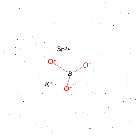 [K+].[O-]B([O-])[O-].[Sr+2]